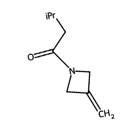 C=C1CN(C(=O)CC(C)C)C1